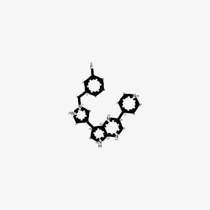 Fc1cccc(Cn2cc(-c3c[nH]c4ncc(-c5ccncc5)nc34)cn2)c1